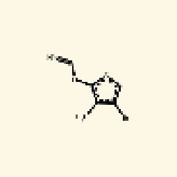 Cc1c(Br)csc1OC=N